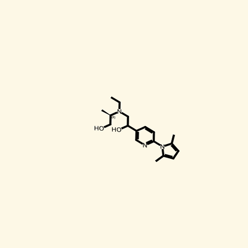 CCN(CC(O)c1ccc(-n2c(C)ccc2C)nc1)[C@H](C)CO